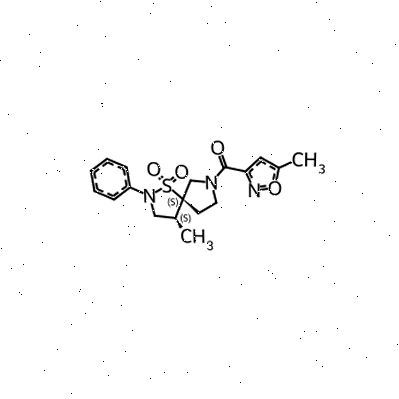 Cc1cc(C(=O)N2CC[C@@]3(C2)[C@@H](C)CN(c2ccccc2)S3(=O)=O)no1